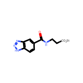 CCOC(=O)CCNC(=O)c1ccc2[nH]nnc2c1